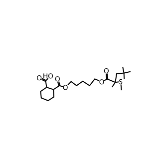 CSC(C)(CC(C)(C)C)C(=O)OCCCCCOC(=O)C1CCCCC1C(=O)O